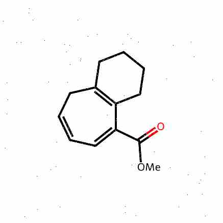 COC(=O)C1=CC=CCC2=C1CCCC2